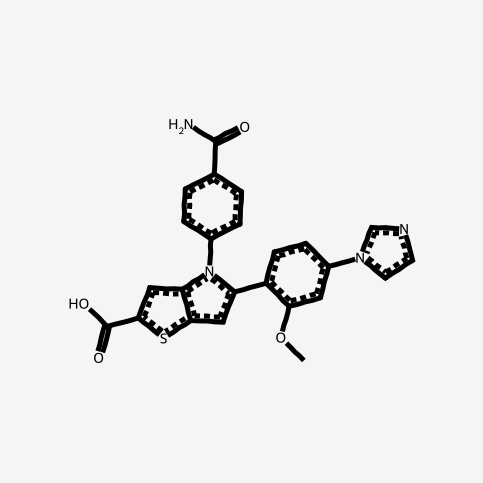 COc1cc(-n2ccnc2)ccc1-c1cc2sc(C(=O)O)cc2n1-c1ccc(C(N)=O)cc1